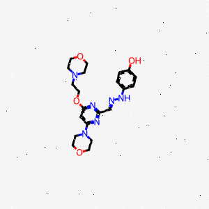 Oc1ccc(NN=Cc2nc(OCCN3CCOCC3)cc(N3CCOCC3)n2)cc1